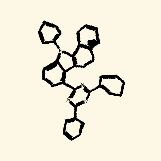 c1ccc(-c2nc(-c3ccccc3)nc(-c3cccc4c3c3ccc5ccccc5c3n4-c3ccccc3)n2)cc1